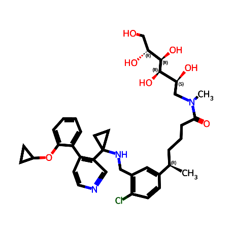 C[C@H](CCCC(=O)N(C)C[C@H](O)[C@@H](O)[C@H](O)[C@H](O)CO)c1ccc(Cl)c(CNC2(c3cnccc3-c3ccccc3OC3CC3)CC2)c1